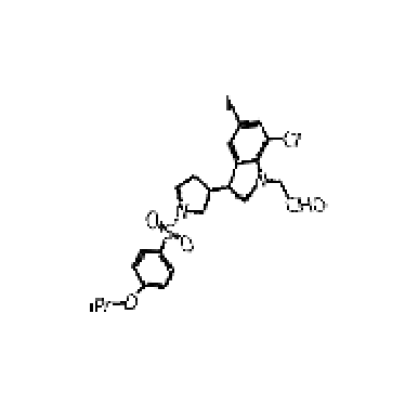 CC(C)Oc1ccc(S(=O)(=O)N2CCC(C3CN(CC=O)c4c(Cl)cc(I)cc43)C2)cc1